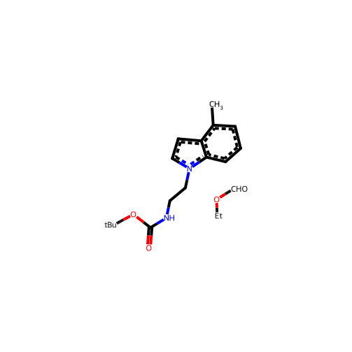 CCOC=O.Cc1cccc2c1ccn2CCNC(=O)OC(C)(C)C